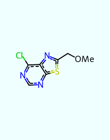 COCc1nc2c(Cl)ncnc2s1